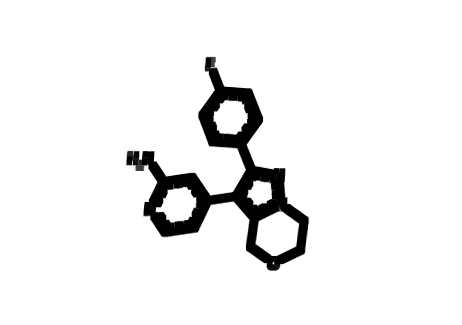 Nc1cc(-c2c(-c3ccc(F)cc3)nn3c2COCC3)ccn1